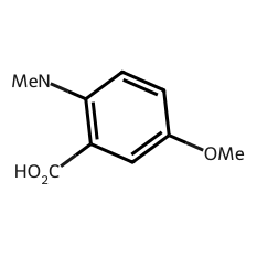 CNc1ccc(OC)cc1C(=O)O